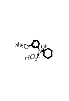 COc1cccc(N(C(=O)O)C2(O)CCCCC2)c1